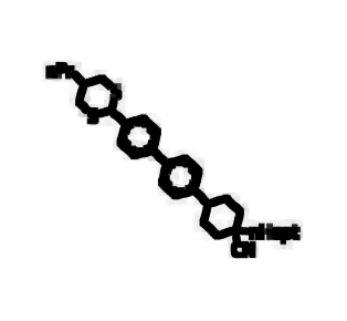 CCCCCCCC1(C#N)CCC(c2ccc(-c3ccc(C4SCC(CCC)CS4)cc3)cc2)CC1